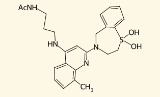 CC(=O)NCCCNc1cc(N2CCS(O)(O)c3ccccc3C2)nc2c(C)cccc12